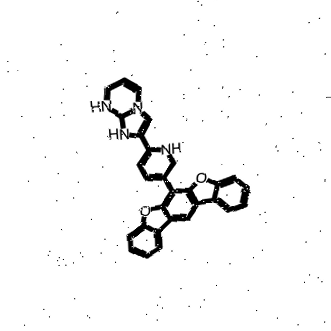 C1=CN2C=C(C3=CC=C(c4c5oc6ccccc6c5cc5c4oc4ccccc45)CN3)NC2NC1